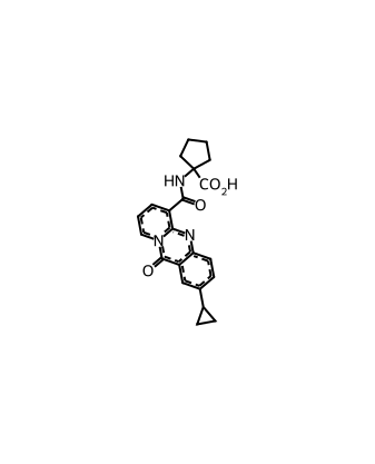 O=C(NC1(C(=O)O)CCCC1)c1cccn2c(=O)c3cc(C4CC4)ccc3nc12